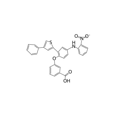 O=C(O)c1cccc(Oc2ccc(Nc3ccccc3[N+](=O)[O-])cc2-c2cc(-c3ccccc3)cs2)c1